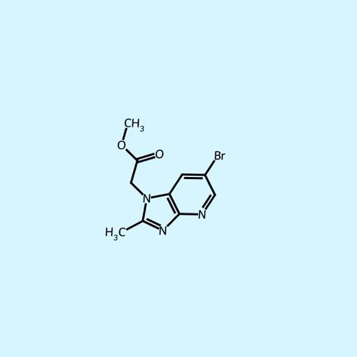 COC(=O)Cn1c(C)nc2ncc(Br)cc21